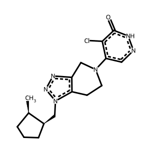 C[C@@H]1CCC[C@@H]1Cn1nnc2c1CCN(c1cn[nH]c(=O)c1Cl)C2